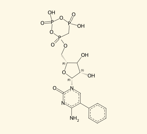 Nc1nc(=O)n([C@@H]2O[C@H](COP3(=O)CP(=O)(O)OP(=O)(O)O3)C(O)[C@@H]2O)cc1-c1ccccc1